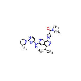 CC(C)c1cnc(N2CC(C(=O)N(C)C)C2)c2cnc(Nc3ccnc(N4CCC[C@H](C)C4)n3)cc12